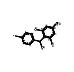 N#CC(c1ccc(F)cc1)c1c(Cl)cc(N)cc1Cl